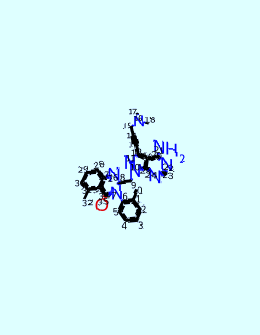 Cc1ccccc1-n1c(Cn2nc(C#CCN(C)C)c3c(N)ncnc32)nc2cccc(C)c2c1=O